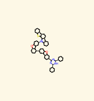 c1ccc(C2=NC(c3ccc4c(c3)oc3ccc(-c5cccc6oc7ccc(-n8c9ccccc9c9ccc%10c%11ccccc%11sc%10c98)cc7c56)cc34)=NC(c3ccccc3)N2)cc1